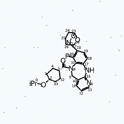 CC(C)O[C@H]1CC[C@H](C(=O)N2Cc3cccnc3Nc3ccc(N4CC5CCC4CO5)c(F)c32)CC1